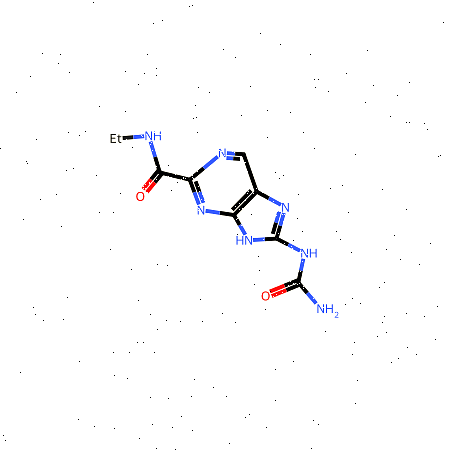 CCNC(=O)c1ncc2nc(NC(N)=O)[nH]c2n1